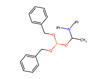 CC(C)N(C(C)C)C(C)OP(OCc1ccccc1)OCc1ccccc1